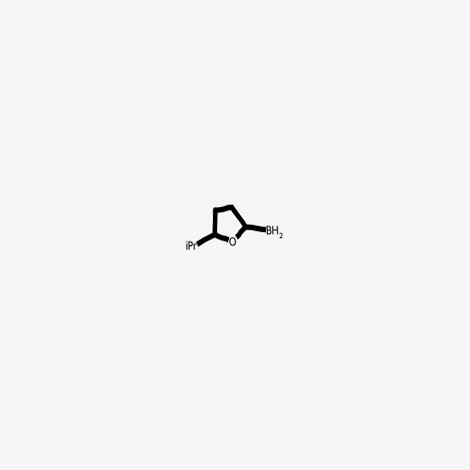 BC1CCC(C(C)C)O1